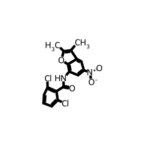 Cc1oc2c(NC(=O)c3c(Cl)cccc3Cl)cc([N+](=O)[O-])cc2c1C